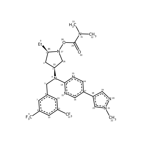 CC[C@@H]1C[C@H](N(Cc2cc(C(F)(F)F)cc(C(F)(F)F)c2)c2ncc(-c3cnn(C)c3)cn2)CN1OC(=O)N(C)C